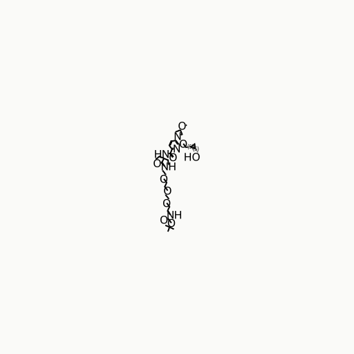 CCC(CC)(NC(=O)c1ccc(N2CC(OC)C2)c(OC[C@H]2C[C@@H]2CO)n1)C(=O)NCCOCCOCCOCCNC(=O)OC(C)(C)C